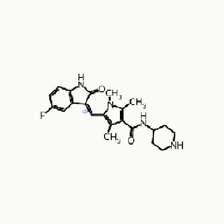 Cc1c(C(=O)NC2CCNCC2)c(C)n(C)c1/C=C1\C(=O)Nc2ccc(F)cc21